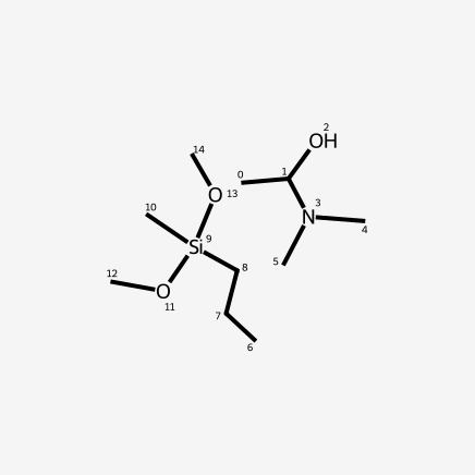 CC(O)N(C)C.CCC[Si](C)(OC)OC